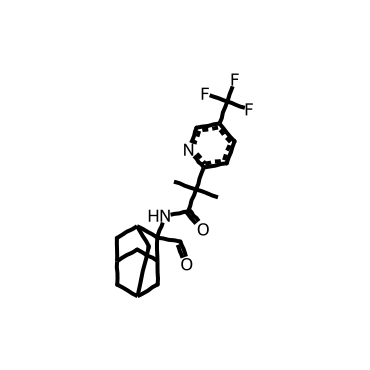 CC(C)(C(=O)NC1(C=O)C2CC3CC(C2)CC1C3)c1ccc(C(F)(F)F)cn1